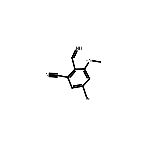 CNc1cc(Br)cc(C#N)c1C=N